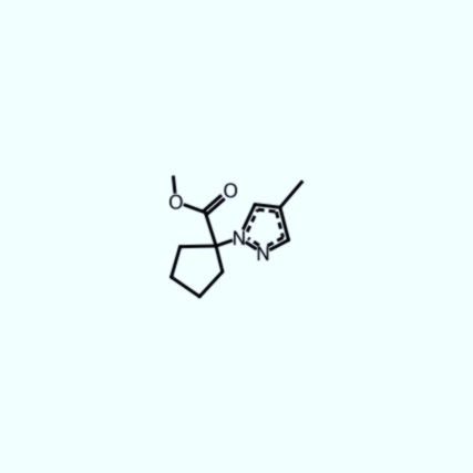 COC(=O)C1(n2cc(C)cn2)CCCC1